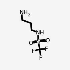 NCCCNS(=O)(=O)C(F)(F)F